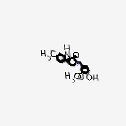 COc1cc(/C=C2\CCc3c([nH]c4cc(C)ccc34)C2=O)ccc1O